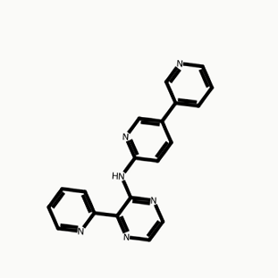 c1ccc(-c2nccnc2Nc2ccc(-c3cccnc3)cn2)nc1